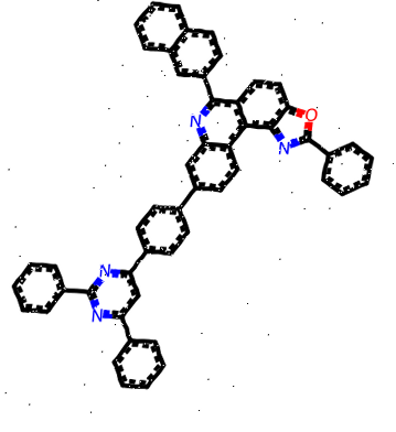 c1ccc(-c2cc(-c3ccc(-c4ccc5c(c4)nc(-c4ccc6ccccc6c4)c4ccc6oc(-c7ccccc7)nc6c45)cc3)nc(-c3ccccc3)n2)cc1